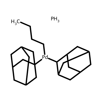 CCC[CH2][Pd]([CH]1C2CC3CC(C2)CC1C3)[C]12CC3CC(CC(C3)C1)C2.P